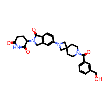 O=C1CCC(N2Cc3cc(N4CC5(CCN(C(=O)c6cccc(CO)c6)CC5)C4)ccc3C2=O)C(=O)N1